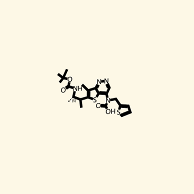 Cc1c(C(C)[C@H](C)NC(=O)OC(C)(C)C)sc2c(N(Cc3cccs3)C(=O)O)cnnc12